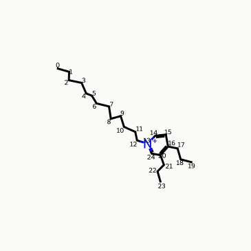 CCCCCCCCCCCCC[n+]1ccc(CCC)c(CCC)c1